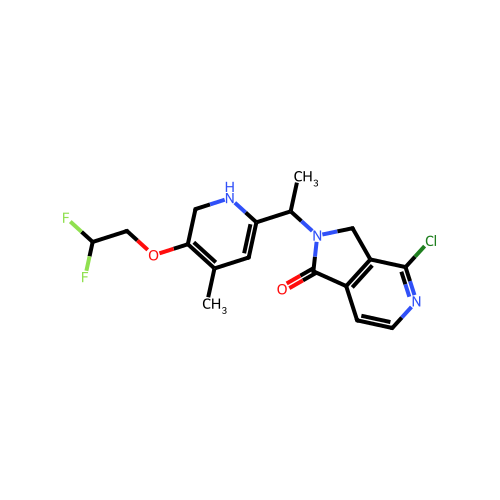 CC1=C(OCC(F)F)CNC(C(C)N2Cc3c(ccnc3Cl)C2=O)=C1